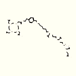 O=C(O)CC[C@H](NP(=O)(O)OCC[C@H](NC(=O)CC[C@@H](NC(=O)CCCCCNC(=O)c1ccc(CCNC(=O)CN2CCN(CC(=O)O)CCN(CC(=O)O)CCN(CC(=O)O)CC2)cc1)C(=O)O)C(=O)O)C(=O)O